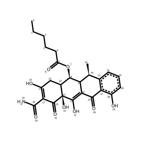 CCCCCC(=O)O[C@H]1C2C(=C(O)[C@]3(O)C(=O)C(C(N)=O)=C(O)CC13)C(=O)c1c(O)cccc1[C@@H]2C